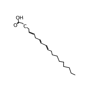 CCCCCCCCCC=CC=CCC=CCCCC(=O)O